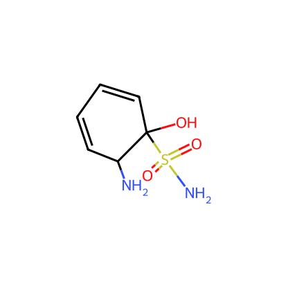 NC1C=CC=CC1(O)S(N)(=O)=O